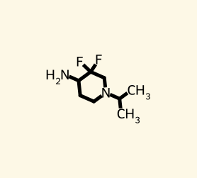 CC(C)N1CCC(N)C(F)(F)C1